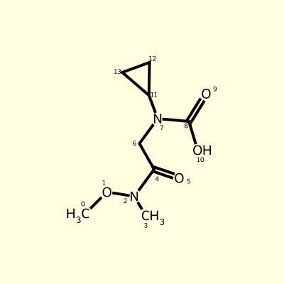 CON(C)C(=O)CN(C(=O)O)C1CC1